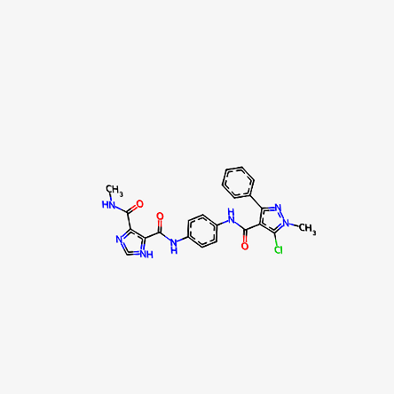 CNC(=O)c1nc[nH]c1C(=O)Nc1ccc(NC(=O)c2c(-c3ccccc3)nn(C)c2Cl)cc1